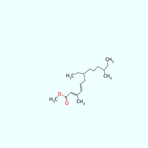 CCC(C)CCCC(CC)CC=CC(C)=CC(=O)OC